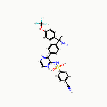 CC(N)(c1ccc(OC(F)(F)F)cc1)c1ccc(-c2nccnc2NS(=O)(=O)c2ccc(C#N)cc2)cc1